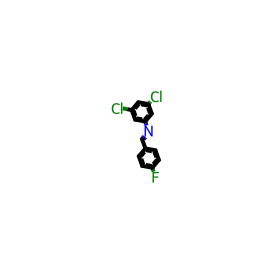 Fc1ccc(C=Nc2cc(Cl)cc(Cl)c2)cc1